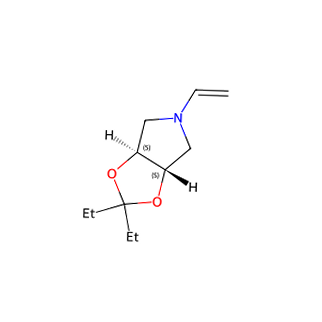 C=CN1C[C@@H]2OC(CC)(CC)O[C@H]2C1